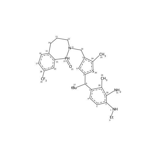 CCNc1ccc(C(c2cc(CN3CCCc4ccc(C(F)(F)F)cc4[PH]3=O)c(C)s2)C(C)(C)C)c(C)c1N